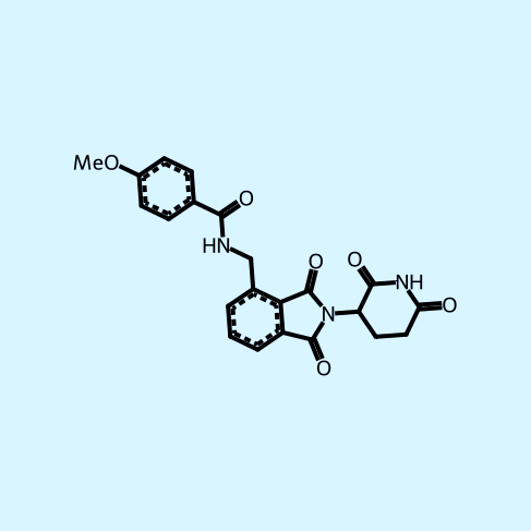 COc1ccc(C(=O)NCc2cccc3c2C(=O)N(C2CCC(=O)NC2=O)C3=O)cc1